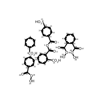 O=C(O)c1ccccc1.O=C(OC(=O)c1ccccc1C(=O)O)c1ccc(S(=O)(=O)O)cc1.O=C(OO)c1ccccc1.O=C(OO)c1ccccc1C(=O)OO